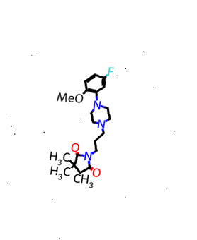 COc1ccc(F)cc1N1CCN(CCCN2C(=O)C(C)C(C)(C)C2=O)CC1